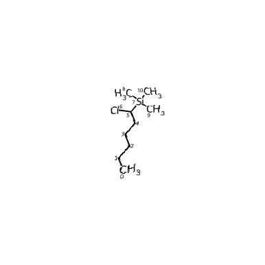 CCCCCC(Cl)[Si](C)(C)C